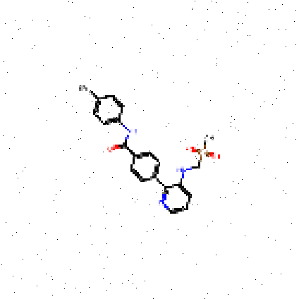 CC(C)(C)c1ccc(NC(=O)c2ccc(-c3ncccc3NCS(C)(=O)=O)cc2)cc1